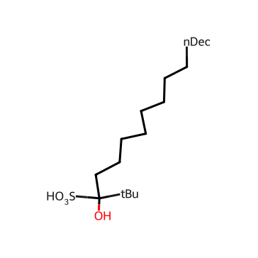 CCCCCCCCCCCCCCCCCCC(O)(C(C)(C)C)S(=O)(=O)O